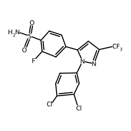 NS(=O)(=O)c1ccc(-c2cc(C(F)(F)F)nn2-c2ccc(Cl)c(Cl)c2)cc1F